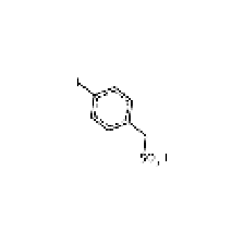 O=S(=O)(O)Cc1ccc(I)cc1